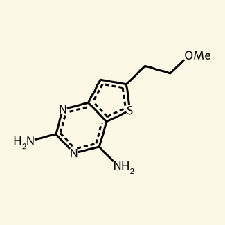 COCCc1cc2nc(N)nc(N)c2s1